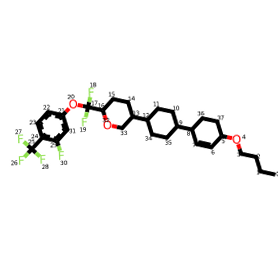 CCCCOC1C=CC(C2CCC(C3CCC(C(F)(F)Oc4ccc(C(F)(F)F)c(F)c4)OC3)CC2)CC1